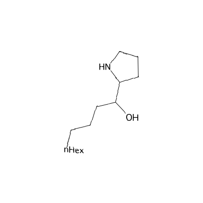 CCCCCCCCCC(O)C1CCCN1